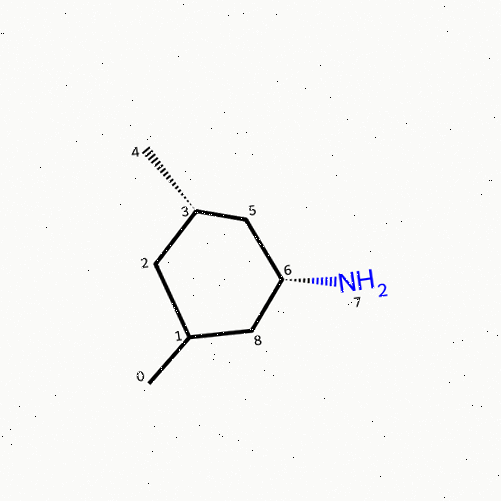 CC1C[C@H](C)C[C@H](N)C1